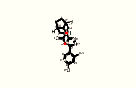 CC(=O)NC1[C@@H]2CC[C@H]1CN(c1nnc(-c3cnc(Cl)cc3F)s1)C2